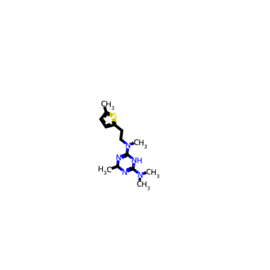 Cc1ccc(CCN(C)C2=NC(C)N=C(N(C)C)N2)s1